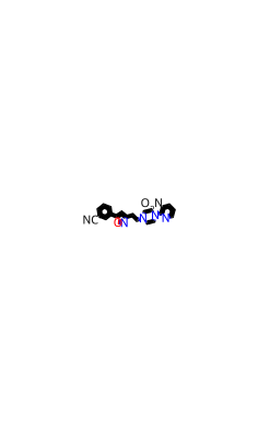 N#Cc1cccc(-c2cc(CCN3CCN(c4ncccc4[N+](=O)[O-])CC3)no2)c1